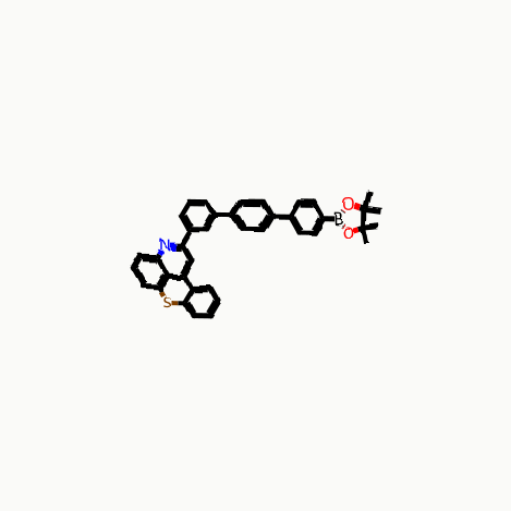 CC1(C)OB(c2ccc(-c3ccc(-c4cccc(-c5cc6c7c(cccc7n5)Sc5ccccc5-6)c4)cc3)cc2)OC1(C)C